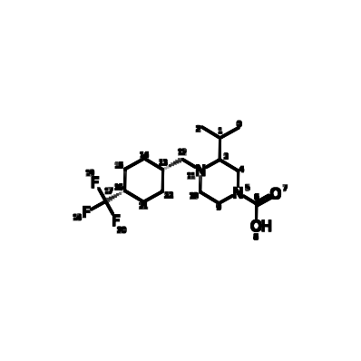 CC(C)C1CN(C(=O)O)CCN1C[C@H]1CC[C@@H](C(F)(F)F)CC1